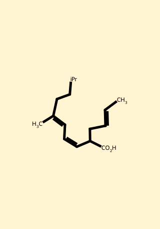 CC=CCC(/C=C\C=C(/C)CCC(C)C)C(=O)O